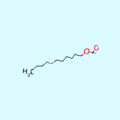 CCCCCCCCCCCO[C]=O